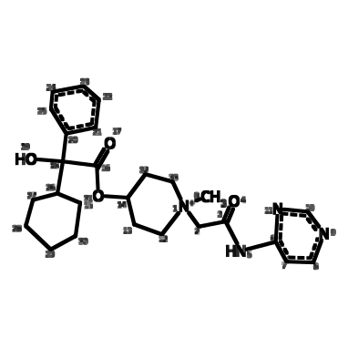 C[N+]1(CC(=O)Nc2ccncn2)CCC(OC(=O)C(O)(c2ccccc2)C2CCCCC2)CC1